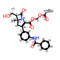 C[C@@H](O)[C@H]1C(=O)N2C(C(=O)OCOC(=O)C(C)(C)C)=C(c3cccc(NC(=O)c4ccccc4)c3)C[C@H]12